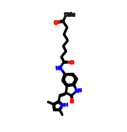 COC(=O)CCCCCCC(=O)Nc1ccc2c(c1)C(=Cc1[nH]c(C)cc1C)C(=O)N2